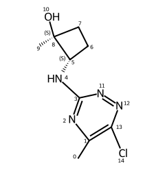 Cc1nc(N[C@H]2CC[C@]2(C)O)nnc1Cl